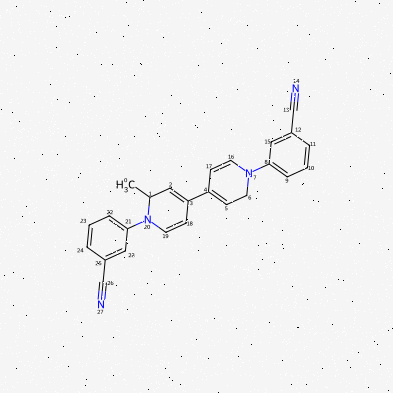 CC1C=C(C2=CCN(c3cccc(C#N)c3)C=C2)C=CN1c1cccc(C#N)c1